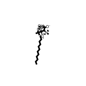 CCCCCCCCCCCCNC(C(C(=O)[O-])[N+](C)(C)C)(C(C)(C)C)S(=O)(=O)O